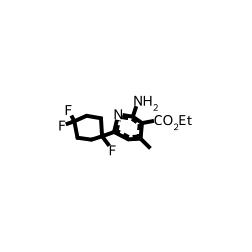 CCOC(=O)c1c(C)cc(C2(F)CCC(F)(F)CC2)nc1N